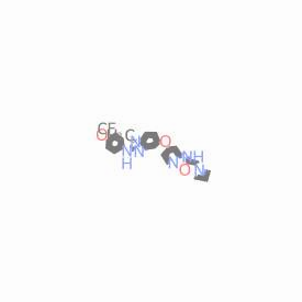 Cn1c(Nc2ccc(OC(F)(F)F)cc2)nc2cc(Oc3ccnc(NC(=O)CN4CCC4)c3)ccc21